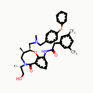 C[C@@H]1CN([C@@H](C)CO)C(=O)c2cccc(NC(=O)Cc3cc(C(F)(F)F)cc(C(F)(F)F)c3)c2O[C@@H]1CN(C)Cc1ccc(Sc2ccccc2)cc1